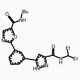 CCC(C)NC(=O)c1cnc(-c2cccc(-c3cc(C(=O)NC(CC)CC)n[nH]3)c2)o1